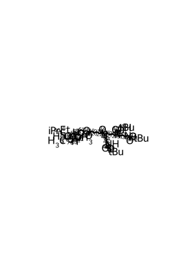 CC[C@H](CC[C@@H](C)[C@H]1CC[C@H]2[C@@H]3CC=C4C[C@@H](OC(=O)CCCCC(=O)N(CCCCN(CCCNC(=O)OC(C)(C)C)C(=O)OC(C)(C)C)CCCNC(=O)OC(C)(C)C)CC[C@]4(C)[C@H]3CC[C@]12C)C(C)C